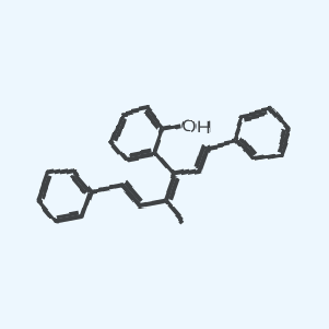 CC(C=Cc1ccccc1)=C(C=Cc1ccccc1)c1ccccc1O